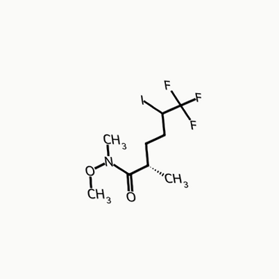 CON(C)C(=O)[C@@H](C)CCC(I)C(F)(F)F